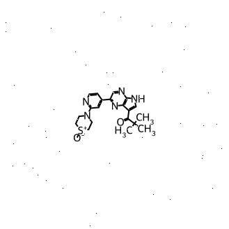 CC(C)(C)C(=O)c1c[nH]c2ncc(-c3ccnc(N4CC[S+]([O-])CC4)c3)nc12